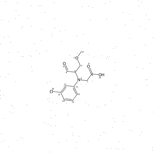 COCC(C=O)N(CC(=O)O)c1cccc(Cl)c1